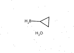 BC1CC1.O